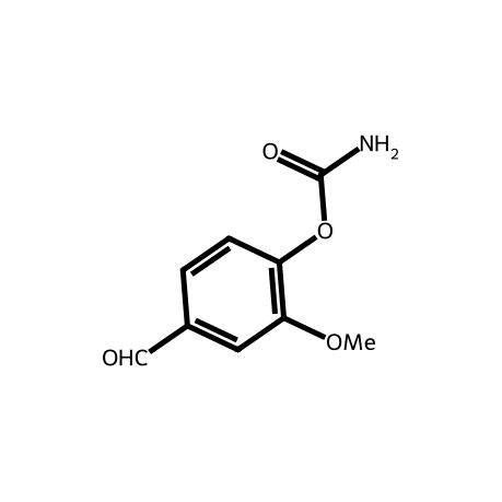 COc1cc(C=O)ccc1OC(N)=O